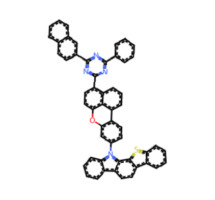 c1ccc(-c2nc(-c3ccc4ccccc4c3)nc(-c3ccc4c5c(cccc35)-c3ccc(-n5c6ccccc6c6ccc7c8ccccc8sc7c65)cc3O4)n2)cc1